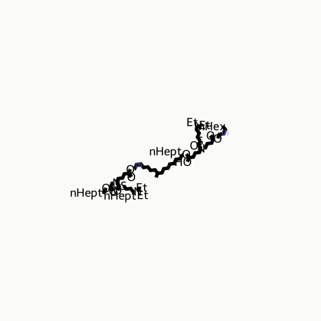 CCCCCC/C=C\COC(=O)CCCN(CCCC(O)OC(CCCCCCC)CCCCCCCC(C)CCCC/C=C\COC(=O)CCCN(CC(=O)OC(CCCCCCC)CCCCCCC)C(=O)SCCCN(CC)CC)C(=O)SCCCN(CC)CC